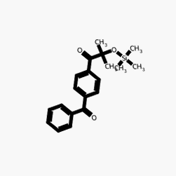 CC(C)(O[Si](C)(C)C)C(=O)c1ccc(C(=O)c2ccccc2)cc1